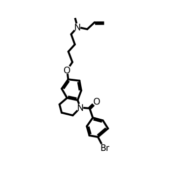 C=CCN(C)CCCCOc1ccc2c(c1)CCCN2C(=O)c1ccc(Br)cc1